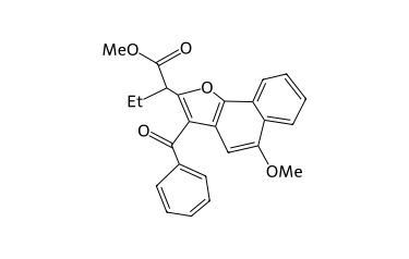 CCC(C(=O)OC)c1oc2c(cc(OC)c3ccccc32)c1C(=O)c1ccccc1